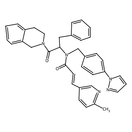 Cc1ccc(C=CC(=O)N(Cc2ccc(-n3cccn3)cc2)C(Cc2ccccc2)C(=O)N2CCc3ccccc3C2)cn1